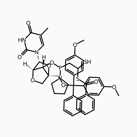 COc1ccc(C(OC[C@@]23CO[C@@H]([C@H](n4cc(C)c(=O)[nH]c4=O)O2)[C@@H]3OP(CC(S)SC(=O)c2ccccc2)N2CCCC2)(c2ccccc2)c2ccc(OC)cc2)cc1